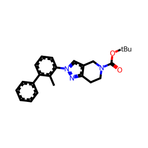 Cc1c(-c2ccccc2)cccc1-n1cc2c(n1)CCN(C(=O)OC(C)(C)C)C2